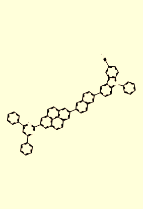 N#Cc1ccc2c(c1)c1cc(-c3ccc4cc(-c5cc6ccc7cc(-c8nc(-c9ccccc9)cc(-c9ccccc9)n8)cc8ccc(c5)c6c78)ccc4c3)ccc1n2-c1ccccc1